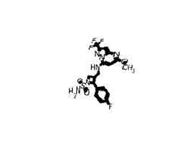 COc1cc(NCC2CN(S(N)(=O)=O)C2c2ccc(F)cc2)n2nc(C(F)(F)F)cc2n1